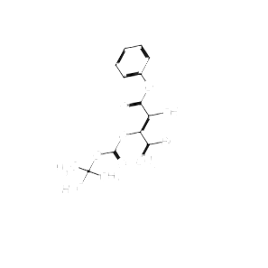 C=C(Br)/C(OC(=O)OC(C)(C)C)=C(\C)C(=O)Oc1ccccc1